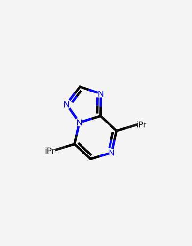 CC(C)c1ncc(C(C)C)n2ncnc12